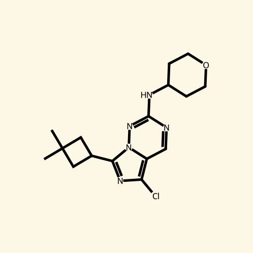 CC1(C)CC(c2nc(Cl)c3cnc(NC4CCOCC4)nn23)C1